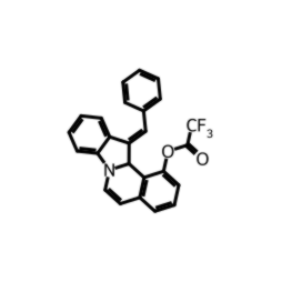 O=C(Oc1cccc2c1C1C(=Cc3ccccc3)c3ccccc3N1C=C2)C(F)(F)F